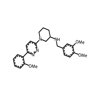 COc1ccc(CNC2CCCN(c3ccc(-c4ccccc4OC)nn3)C2)cc1OC